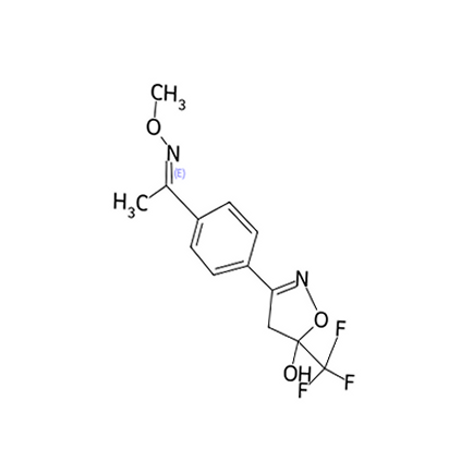 CO/N=C(\C)c1ccc(C2=NOC(O)(C(F)(F)F)C2)cc1